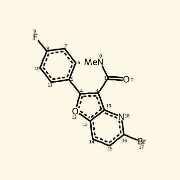 CNC(=O)c1c(-c2ccc(F)cc2)oc2ccc(Br)nc12